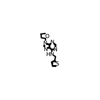 c1csc(CNc2ncnc3c2ncn3C2CCCO2)c1